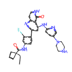 CCC1(C(=O)Nc2ccc(-c3cc(Nc4ccc(N5CCNCC5)cn4)c4c(=O)[nH]ccc4n3)c(F)c2)CCC1